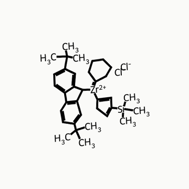 CC(C)(C)c1ccc2c(c1)[CH]([Zr+2]([C]1=CC([Si](C)(C)C)=CC1)=[C]1CCCCC1)c1cc(C(C)(C)C)ccc1-2.[Cl-].[Cl-]